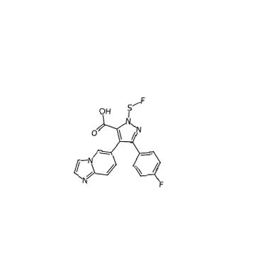 O=C(O)c1c(-c2ccc3nccn3c2)c(-c2ccc(F)cc2)nn1SF